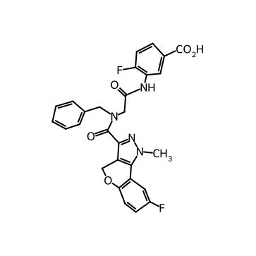 Cn1nc(C(=O)N(CC(=O)Nc2cc(C(=O)O)ccc2F)Cc2ccccc2)c2c1-c1cc(F)ccc1OC2